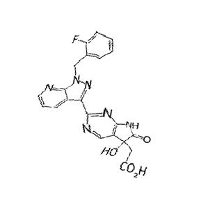 O=C(O)CC1(O)C(=O)Nc2nc(-c3nn(Cc4ccccc4F)c4ncccc34)ncc21